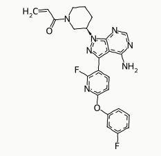 C=CC(=O)N1CCC[C@@H](n2nc(-c3ccc(Oc4cccc(F)c4)nc3F)c3c(N)ncnc32)C1